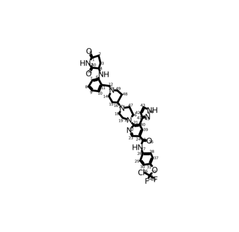 O=C1CCC(Nc2ccccc2CN2CCC(N3CCN(c4ncc(C(=O)Nc5ccc(OC(F)(F)Cl)cc5)cc4-c4cc[nH]n4)CC3)CC2)C(=O)N1